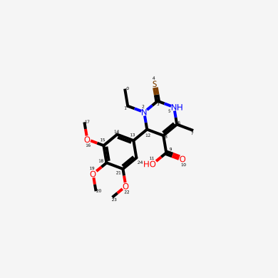 CCN1C(=S)NC(C)=C(C(=O)O)C1c1cc(OC)c(OC)c(OC)c1